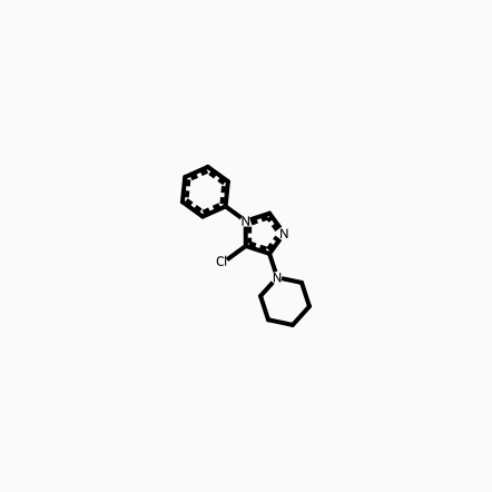 Clc1c(N2CCCCC2)ncn1-c1ccccc1